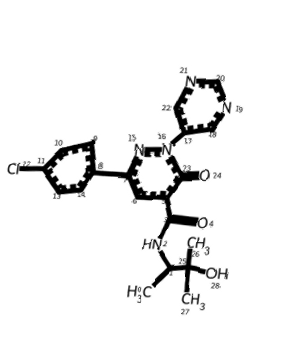 CC(NC(=O)c1cc(-c2ccc(Cl)cc2)nn(-c2cncnc2)c1=O)C(C)(C)O